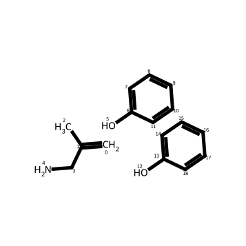 C=C(C)CN.Oc1ccccc1.Oc1ccccc1